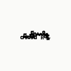 O=C(NCCCCOc1c(Cl)cc(OCC=C(Cl)Cl)cc1Cl)c1ccc(Br)o1